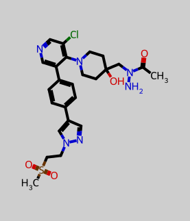 CC(=O)N(N)CC1(O)CCN(c2c(Cl)cncc2-c2ccc(-c3cnn(CCS(C)(=O)=O)c3)cc2)CC1